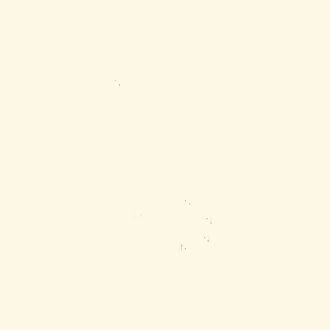 Cc1nnnn1-c1cccc(CC#N)c1